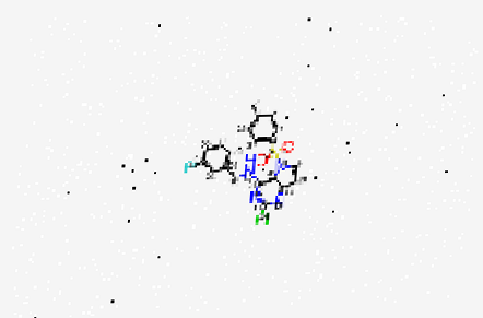 Cc1ccc(S(=O)(=O)n2ccc3nc(Cl)nc(NCc4cccc(F)c4)c32)cc1